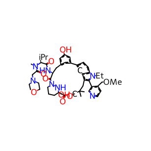 CCn1c(-c2cnccc2COC)c2c3cc(ccc31)-c1cc(O)cc(c1)C[C@H](NC(=O)[C@H](C(C)C)N(C)C(=O)CN1CCOCC1)C(=O)N1CCC[C@@](O)(N1)C(=O)OCC(C)(C)C2